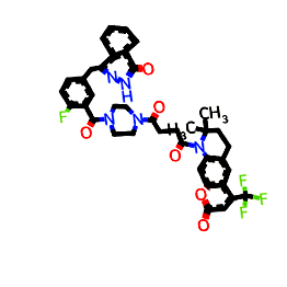 CC1(C)CCc2cc3c(C(F)(F)F)cc(=O)oc3cc2N1C(=O)CCC(=O)N1CCN(C(=O)c2cc(Cc3n[nH]c(=O)c4ccccc34)ccc2F)CC1